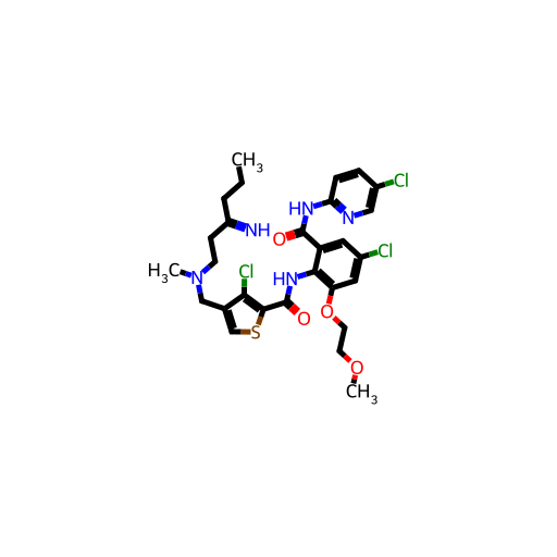 CCCC(=N)CCN(C)Cc1csc(C(=O)Nc2c(OCCOC)cc(Cl)cc2C(=O)Nc2ccc(Cl)cn2)c1Cl